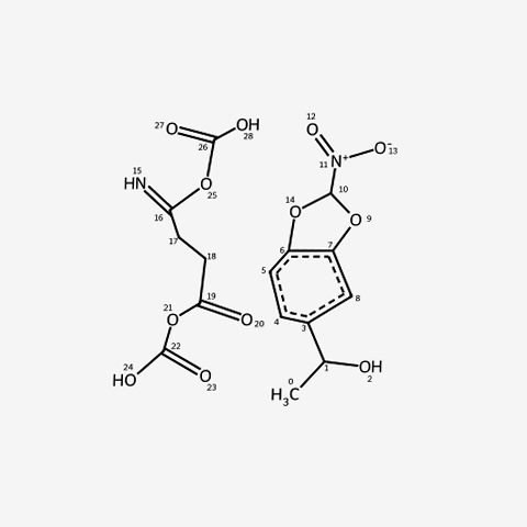 CC(O)c1ccc2c(c1)OC([N+](=O)[O-])O2.N=C(CCC(=O)OC(=O)O)OC(=O)O